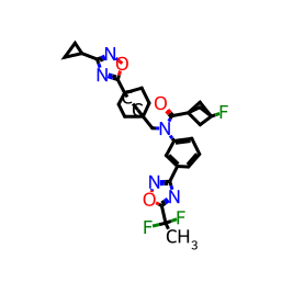 CC(F)(F)c1nc(-c2cccc(N(CC34CCC(c5nc(C6CC6)no5)(CC3)CC4)C(=O)C34CC(F)(C3)C4)c2)no1